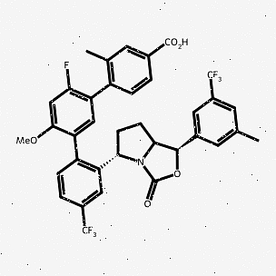 COc1cc(F)c(-c2ccc(C(=O)O)cc2C)cc1-c1ccc(C(F)(F)F)cc1[C@@H]1CCC2[C@@H](c3cc(C)cc(C(F)(F)F)c3)OC(=O)N21